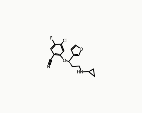 N#Cc1cc(F)c(Cl)cc1O[C@H](CCNC1CC1)c1ccoc1